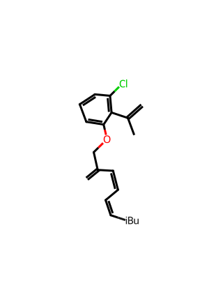 C=C(/C=C\C=C/C(C)CC)COc1cccc(Cl)c1C(=C)C